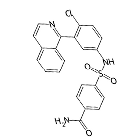 NC(=O)c1ccc(S(=O)(=O)Nc2ccc(Cl)c(-c3nccc4ccccc34)c2)cc1